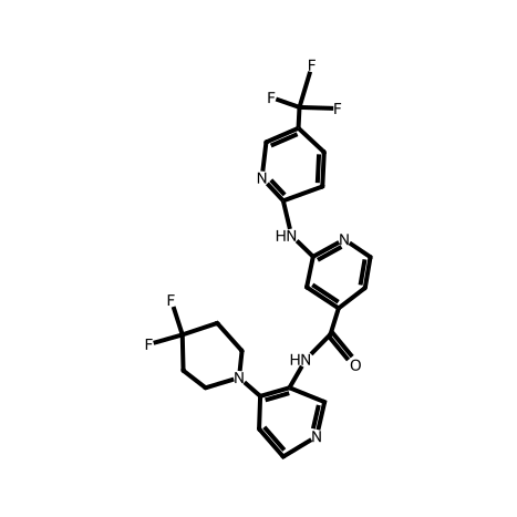 O=C(Nc1cnccc1N1CCC(F)(F)CC1)c1ccnc(Nc2ccc(C(F)(F)F)cn2)c1